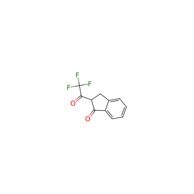 O=C1c2ccccc2CC1C(=O)C(F)(F)F